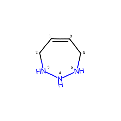 C1=CCNNNC1